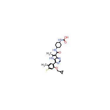 Cc1cc(-c2ncnc3c(C(=O)NC4CCC(NC(=O)O)CC4)c(C)[nH]c23)c(OCC2CC2)cc1F